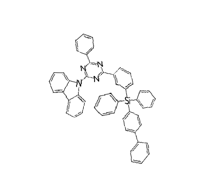 c1ccc(-c2ccc([Si](c3ccccc3)(c3ccccc3)c3cccc(-c4nc(-c5ccccc5)nc(-n5c6ccccc6c6ccccc65)n4)c3)cc2)cc1